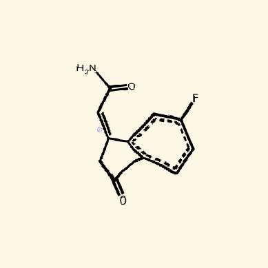 NC(=O)/C=C1/CC(=O)c2ccc(F)cc21